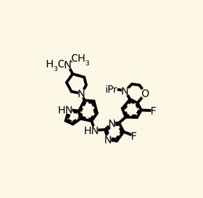 CC(C)N1CCOc2c(F)cc(-c3nc(Nc4ccc(N5CCC(N(C)C)CC5)c5[nH]ccc45)ncc3F)cc21